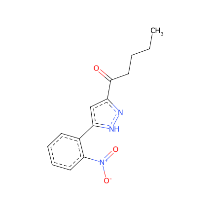 CCCCC(=O)c1cc(-c2ccccc2[N+](=O)[O-])[nH]n1